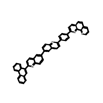 c1ccc2c(c1)cc(-c1ccc3cc(-c4ccc5nc(-c6ccc(-c7ccc8ccc9cccnc9c8n7)cc6)ccc5c4)ccc3n1)c1ccccc12